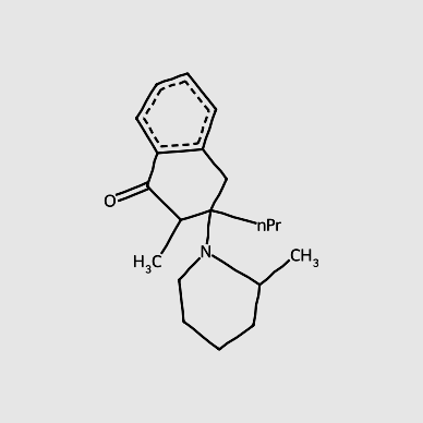 CCCC1(N2CCCCC2C)Cc2ccccc2C(=O)C1C